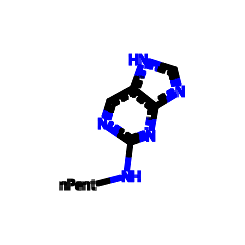 CCCCCNc1ncc2[nH]cnc2n1